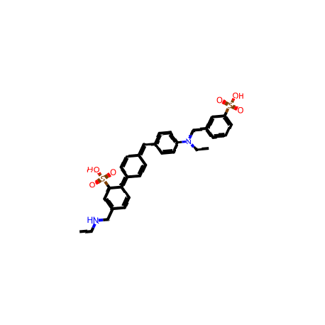 CCNCC1=CC(S(=O)(=O)O)C(=c2ccc(=Cc3ccc(N(CC)Cc4cccc(S(=O)(=O)O)c4)cc3)cc2)C=C1